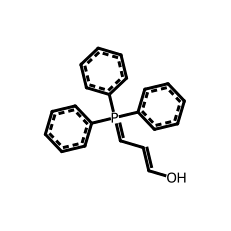 OC=CC=P(c1ccccc1)(c1ccccc1)c1ccccc1